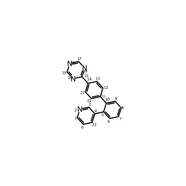 c1cncc(-c2ccccc2-c2ccc(-c3ncncn3)cc2)c1